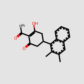 CCCC(=O)C1=C(O)CC(c2c(C)c(C)cc3ccccc23)CC1=O